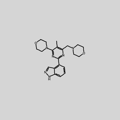 Cc1c(CN2CCOCC2)nc(-c2cccc3[nH]ncc23)nc1N1CCOCC1